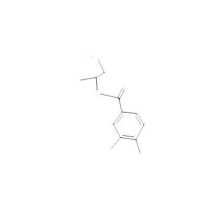 COCC(C)OC(=O)c1ccc(Cl)c(Br)c1